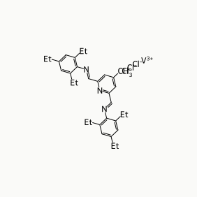 CCc1cc(CC)c(N=Cc2cc(C)cc(C=Nc3c(CC)cc(CC)cc3CC)n2)c(CC)c1.[Cl-].[Cl-].[Cl-].[V+3]